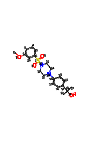 COc1cccc(S(=O)(=O)N2CCN(c3ccc(C(C)(C)O)cc3)CC2)c1